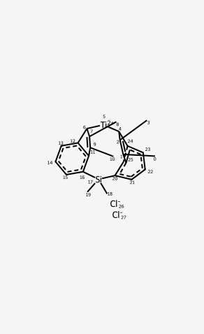 CC1=C(C)[CH]2[Ti+2][CH]3C(C)=C(C)c4c3cccc4[Si](C)(C)c3cccc2c31.[Cl-].[Cl-]